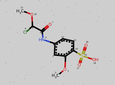 COc1cc(NC(=O)C(Cl)OC)ccc1S(=O)(=O)O